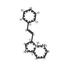 C(=C\c1cnc2cccnn12)/c1ccccc1